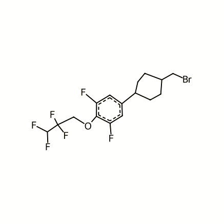 Fc1cc(C2CCC(CBr)CC2)cc(F)c1OCC(F)(F)C(F)F